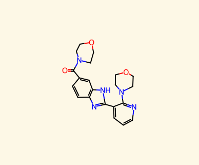 O=C(c1ccc2nc(-c3cccnc3N3CCOCC3)[nH]c2c1)N1CCOCC1